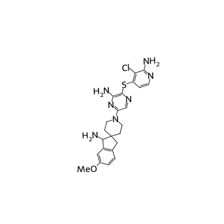 COc1ccc2c(c1)C(N)C1(CCN(c3cnc(Sc4ccnc(N)c4Cl)c(N)n3)CC1)C2